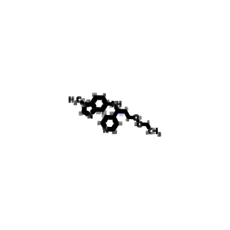 CCOOC/C=C(/Nc1ccc2c(c1)ncn2C)c1ccncc1